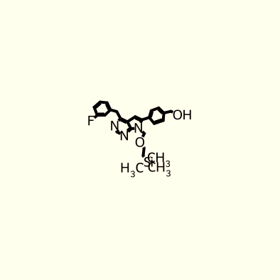 C[Si](C)(C)CCOCn1c(-c2ccc(CO)cc2)cc2c(Cc3cccc(F)c3)ncnc21